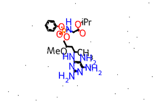 COC(COP(=O)(NCC(=O)OC(C)C)Oc1ccccc1)CC(C)Nc1nc(N)nc(N)c1N